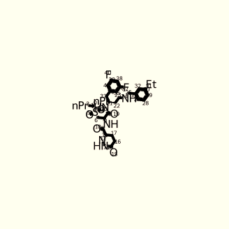 CCCC(CCC)S(=O)(=O)CC(NC(=O)C1=NNC(=O)CC1)C(=O)N[C@H](CCNCc1cccc(CC)c1)Cc1cc(F)cc(F)c1